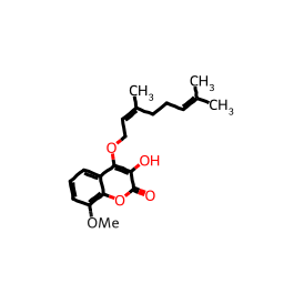 COc1cccc2c(OCC=C(C)CCC=C(C)C)c(O)c(=O)oc12